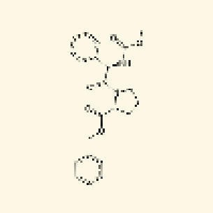 COC(=O)N[C@@H](C(=O)N1CCCC1C(=O)OCc1ccccc1)c1ccccc1